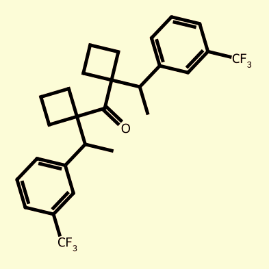 CC(c1cccc(C(F)(F)F)c1)C1(C(=O)C2(C(C)c3cccc(C(F)(F)F)c3)CCC2)CCC1